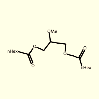 CCCCCCC(=O)OCC(COC(=O)CCCCCC)OC